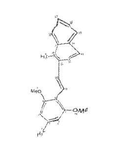 COc1cc(C)cc(OC)c1/C=C/c1ccc2ccccc2[n+]1C